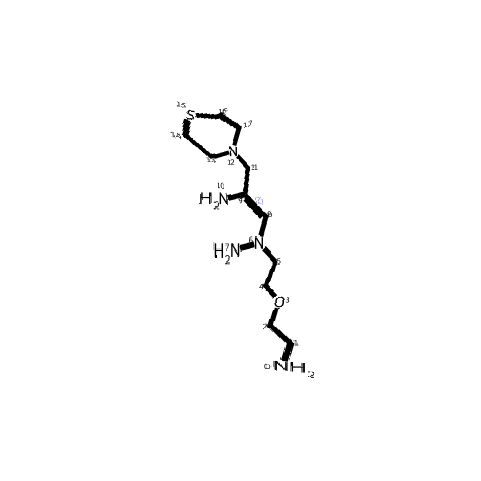 NCCOCCN(N)/C=C(\N)CN1CCSCC1